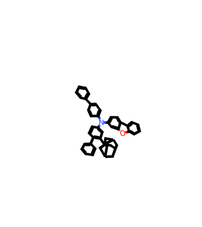 c1ccc(-c2ccc(N(c3ccc(-c4ccccc4)c(C45CC6CC(CC(C6)C4)C5)c3)c3ccc4c(c3)oc3ccccc34)cc2)cc1